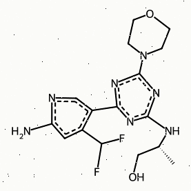 C[C@H](CO)Nc1nc(-c2cnc(N)cc2C(F)F)nc(N2CCOCC2)n1